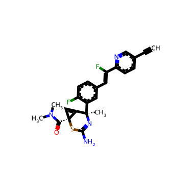 C#Cc1ccc(/C(F)=C/c2ccc(F)c([C@@]3(C)N=C(N)S[C@@]4(C(=O)N(C)C)C=C43)c2)nc1